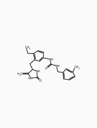 C=C1NC(=O)NC1Cc1cc(NC(=O)NCc2cccc(C)c2)ccc1CC